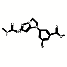 CNC(=O)Nc1cc2n(n1)CCN2c1cc(Br)cc(C(=O)OC)c1